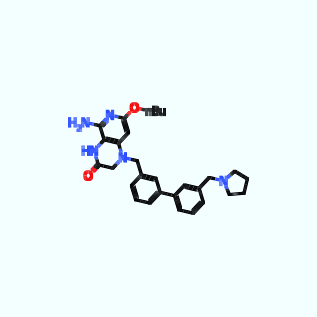 CCCCOc1cc2c(c(N)n1)NC(=O)CN2Cc1cccc(-c2cccc(CN3CCCC3)c2)c1